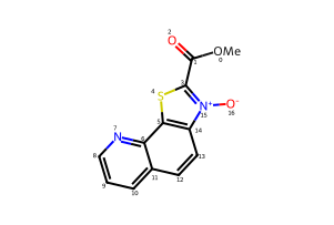 COC(=O)c1sc2c3ncccc3ccc2[n+]1[O-]